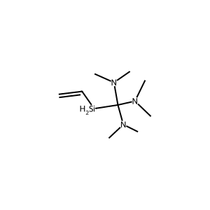 C=C[SiH2]C(N(C)C)(N(C)C)N(C)C